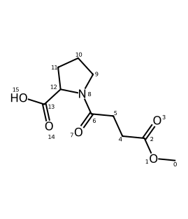 COC(=O)CCC(=O)N1CCCC1C(=O)O